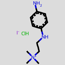 C[N+](C)(C)CCNc1ccc(N)cc1.Cl.[I-]